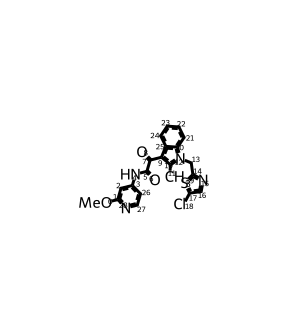 COc1cc(NC(=O)C(=O)c2c(C)n(Cc3ncc(Cl)s3)c3ccccc23)ccn1